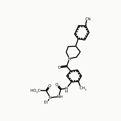 CCN(NC(=O)Nc1cc(C(=O)N2CCC(c3ccc(C#N)cc3)CC2)ccc1C)C(=O)C(=O)O